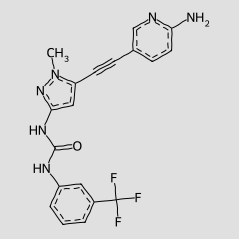 Cn1nc(NC(=O)Nc2cccc(C(F)(F)F)c2)cc1C#Cc1ccc(N)nc1